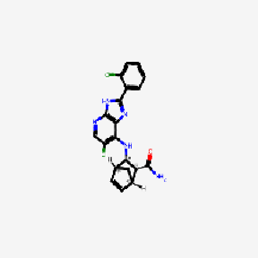 NC(=O)[C@@H]1[C@H](Nc2c(Cl)cnc3[nH]c(-c4ccccc4Cl)nc23)[C@H]2C=C[C@@H]1C2